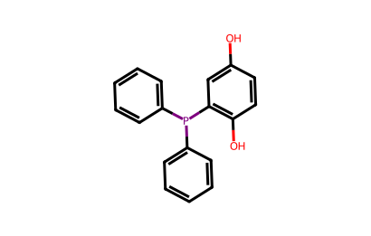 Oc1ccc(O)c(P(c2ccccc2)c2ccccc2)c1